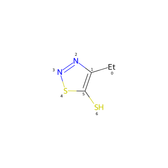 CCc1nnsc1S